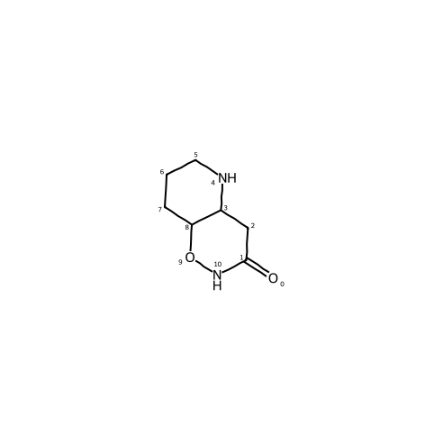 O=C1CC2NCCCC2ON1